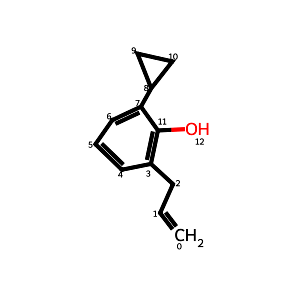 C=CCc1cccc(C2CC2)c1O